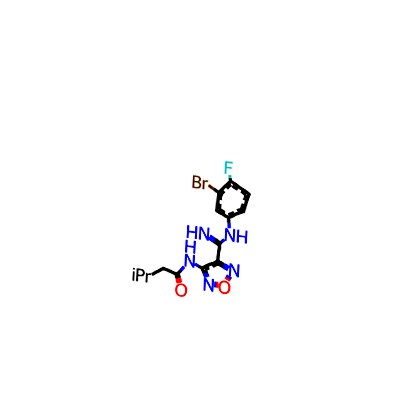 CC(C)CC(=O)Nc1nonc1C(=N)Nc1ccc(F)c(Br)c1